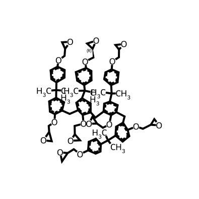 CC(C)(c1ccc(OCC2CO2)cc1)c1ccc(OCC2CO2)c(Cc2cc(C(C)(C)c3ccc(OCC4CO4)cc3)cc(Cc3cc(C(C)(C)c4ccc(OC[C@H]5CO5)cc4)cc(Cc4cc(C(C)(C)c5ccc(OCC6CO6)cc5)ccc4OCC4CO4)c3OCC3CO3)c2OCC2CO2)c1